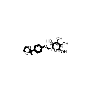 CC1(c2ccc(OC[C@@H]3O[C@H](O)[C@@H](O)[C@H](O)[C@@H]3O)cc2)OCCO1